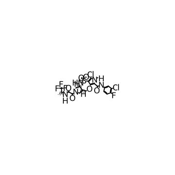 C[C@@H](NC(=O)C(=O)N1C[C@H]2COc3c(c(Cl)n(C)c3C(=O)Nc3ccc(F)c(Cl)c3)S(=O)(=O)N[C@H]2C1)C(F)(F)F